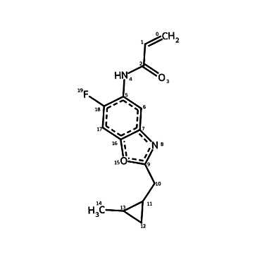 C=CC(=O)Nc1cc2nc(CC3CC3C)oc2cc1F